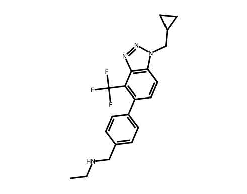 CCNCc1ccc(-c2ccc3c(nnn3CC3CC3)c2C(F)(F)F)cc1